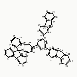 c1ccc2c(c1)-c1ccccc1C21c2ccccc2-c2cc(-c3nc(-c4ccc5c(c4)oc4ccccc45)nc(-c4ccc5c(c4)oc4ccccc45)n3)ccc21